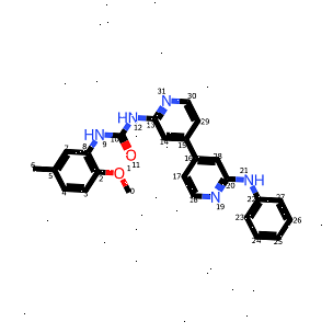 COc1ccc(C)cc1NC(=O)Nc1cc(-c2ccnc(Nc3ccccc3)c2)ccn1